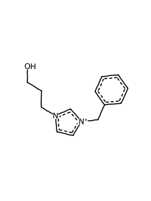 OCCCn1cc[n+](Cc2ccccc2)c1